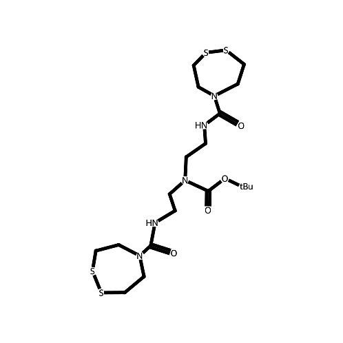 CC(C)(C)OC(=O)N(CCNC(=O)N1CCSSCC1)CCNC(=O)N1CCSSCC1